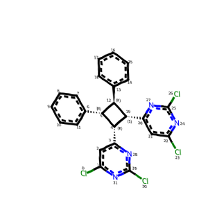 Clc1cc([C@@H]2[C@H](c3ccccc3)[C@@H](c3ccccc3)[C@@H]2c2cc(Cl)nc(Cl)n2)nc(Cl)n1